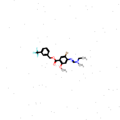 CCN(C)/C=N/c1cc(OC)c(C(=O)OCc2cccc(C(F)(F)F)c2)cc1Br